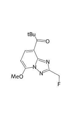 COc1ccc(C(=O)C(C)(C)C)c2nc(CF)nn12